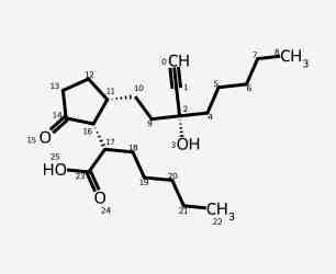 C#C[C@@](O)(CCCCC)CC[C@H]1CCC(=O)[C@H]1C(CCCCC)C(=O)O